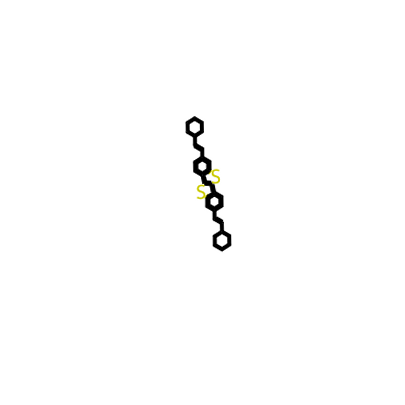 C(=C\C1CCCCC1)/c1ccc2c(c1)sc1c3ccc(/C=C/C4CCCCC4)cc3sc21